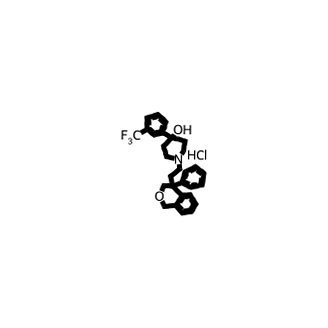 Cl.OC1(c2cccc(C(F)(F)F)c2)CCN(CCC2(c3ccccc3)COCc3ccccc32)CC1